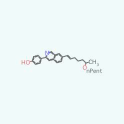 CCCCCOC(C)CCCC=Cc1ccc2cc(-c3ccc(O)cc3)ncc2c1